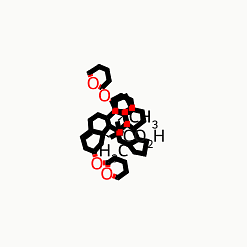 C[C@@]12CCCC1C1CCC3=CCC(OC4CCCCO4)C[C@]3(CC(C[C@]34CC(OC5CCCCO5)CC=C3CCC3C5CCC[C@@]5(C)CCC34)C(=O)O)C1CC2